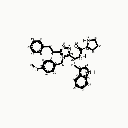 COc1ccc(Cn2c(CCc3ccccc3)nnc2[C@@H](Cc2c[nH]c3ccccc23)NC(=O)[C@@H]2CCCN2)cc1